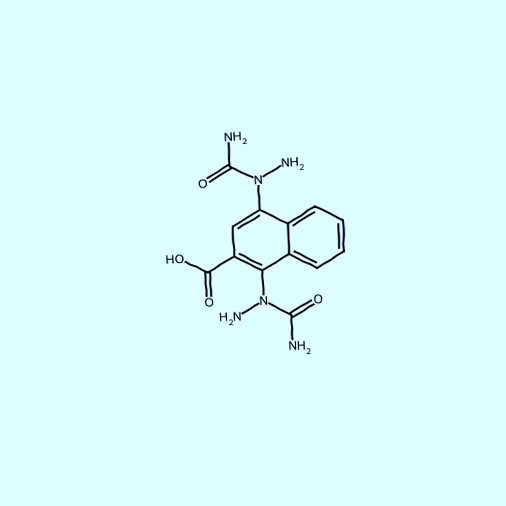 NC(=O)N(N)c1cc(C(=O)O)c(N(N)C(N)=O)c2ccccc12